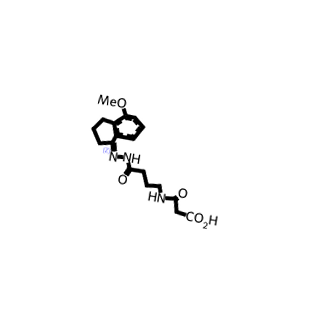 COc1cccc2c1CCC/C2=N/NC(=O)CCCNC(=O)CC(=O)O